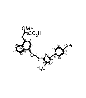 COC(Cc1ccc(OCCc2nc(-c3ccc(C(C)C)cc3)oc2C)c2ccsc12)C(=O)O